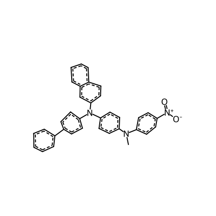 CN(c1ccc(N(c2ccc(-c3ccccc3)cc2)c2ccc3ccccc3c2)cc1)c1ccc([N+](=O)[O-])cc1